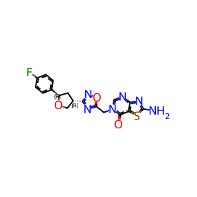 Nc1nc2ncn(Cc3nc([C@@H]4CO[C@@H](c5ccc(F)cc5)C4)no3)c(=O)c2s1